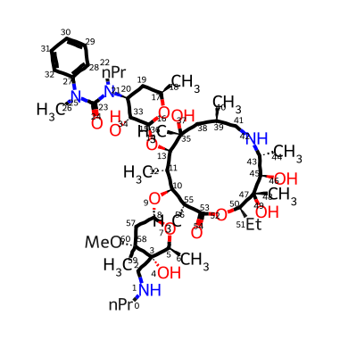 CCCNC[C@]1(O)[C@H](C)O[C@@H](O[C@H]2[C@H](C)[C@@H](O[C@@H]3O[C@H](C)C[C@H](N(CCC)C(=O)N(C)c4ccccc4)[C@H]3O)[C@](C)(O)C[C@@H](C)CN[C@H](C)[C@@H](O)[C@](C)(O)[C@@H](CC)OC(=O)[C@@H]2C)C[C@@]1(C)OC